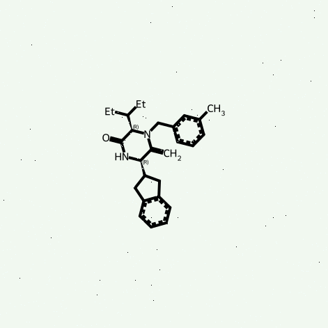 C=C1[C@@H](C2Cc3ccccc3C2)NC(=O)[C@@H](C(CC)CC)N1Cc1cccc(C)c1